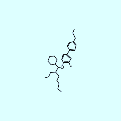 CCCCCC(CCC)C(Oc1ccc(-c2ccc(CCC)cc2)cc1F)C1CCCCC1